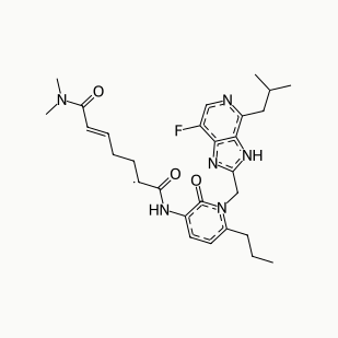 CCCc1ccc(NC(=O)[CH]CC/C=C/C(=O)N(C)C)c(=O)n1Cc1nc2c(F)cnc(CC(C)C)c2[nH]1